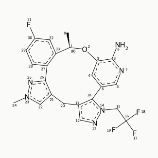 C[C@H]1Oc2cc(cnc2N)-c2c(cnn2CC(F)(F)F)Cc2cn(C)nc2-c2ccc(F)cc21